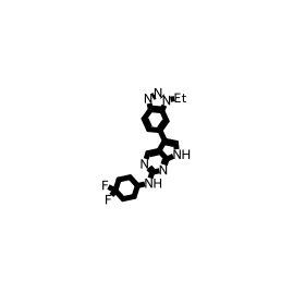 CCn1nnc2ccc(-c3c[nH]c4nc(NC5CCC(F)(F)CC5)ncc34)cc21